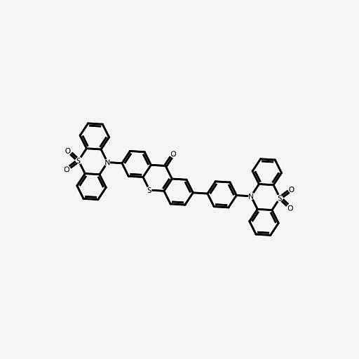 O=c1c2ccc(N3c4ccccc4S(=O)(=O)c4ccccc43)cc2sc2ccc(-c3ccc(N4c5ccccc5S(=O)(=O)c5ccccc54)cc3)cc12